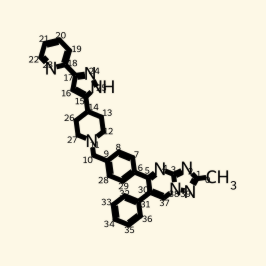 Cc1nc2nc(-c3ccc(CN4CCC(c5cc(-c6ccccn6)n[nH]5)CC4)cc3)c(-c3ccccc3)cn2n1